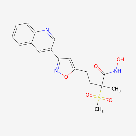 CC(CCc1cc(-c2cnc3ccccc3c2)no1)(C(=O)NO)S(C)(=O)=O